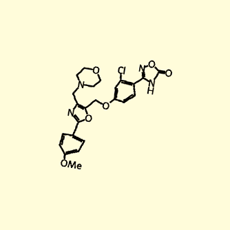 COc1ccc(-c2nc(CN3CCOCC3)c(COc3ccc(-c4noc(=O)[nH]4)c(Cl)c3)o2)cc1